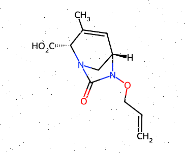 C=CCON1C(=O)N2C[C@@H]1C=C(C)[C@H]2C(=O)O